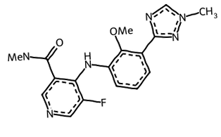 CNC(=O)c1cncc(F)c1Nc1cccc(-c2ncn(C)n2)c1OC